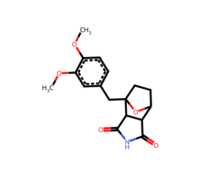 COc1ccc(CC23CCC(O2)C2C(=O)NC(=O)C23)cc1OC